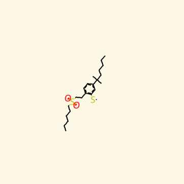 CCCCCCS(=O)(=O)CCc1ccc(C(C)(C)CCCCC)cc1[S]